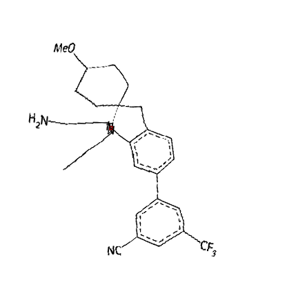 COC1CCC2(CC1)Cc1ccc(-c3cc(C#N)cc(C(F)(F)F)c3)cc1C21N=C(C)C(N)=N1